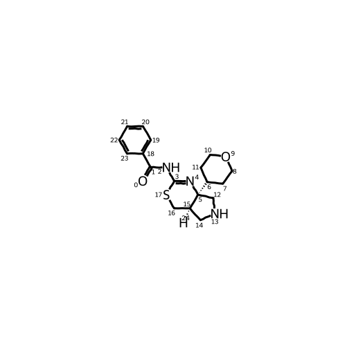 O=C(NC1=N[C@@]2(C3CCOCC3)CNC[C@H]2CS1)c1ccccc1